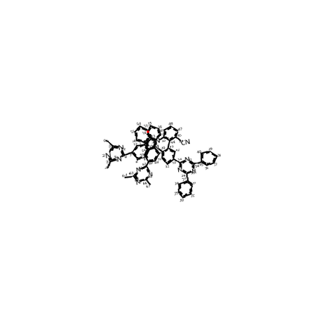 Cc1nc(C)nc(-c2ccc3c(c2)c2ccccc2n3-c2ccc(-c3nc(-c4ccccc4)nc(-c4ccccc4)n3)cc2-c2c(C#N)cccc2-n2c3ccccc3c3cc(-c4nc(C)nc(C)n4)ccc32)n1